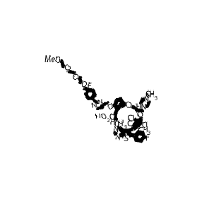 COCCOCCOCCOC[C@@]1(F)CC=C(c2nccc(COc3ccc4cc3C[C@H](C(=O)O)Oc3ncnc5sc(-c6ccc(F)cc6)c(c35)-c3c(C)c(Cl)c(c(Cl)c3C)O[C@H](CN3CCN(C)CC3)CO4)n2)CC1